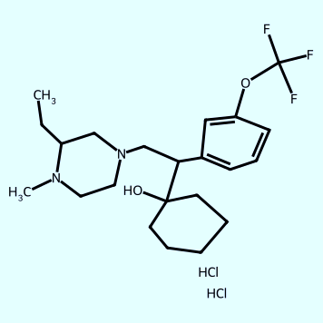 CCC1CN(CC(c2cccc(OC(F)(F)F)c2)C2(O)CCCCC2)CCN1C.Cl.Cl